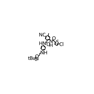 Cc1cc(NC(=O)c2ccc(Cl)s2)c(C(=O)Nc2ccc(NCCO[Si](C)(C)C(C)(C)C)cc2)cc1C#N